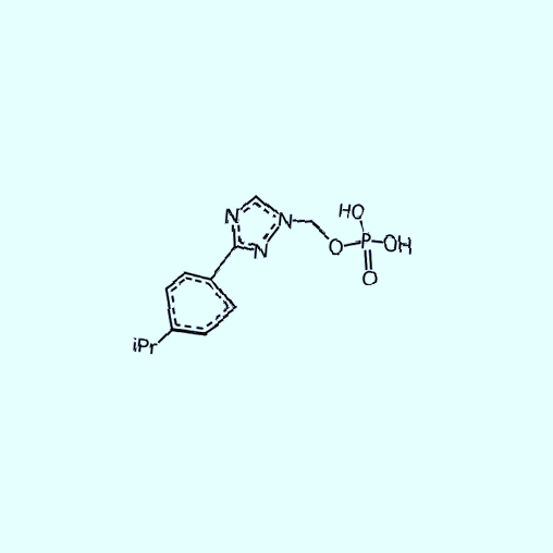 CC(C)c1ccc(-c2ncn(COP(=O)(O)O)n2)cc1